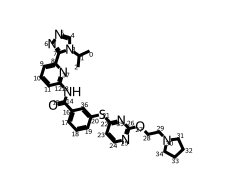 CC(C)n1cnnc1-c1cccc(NC(=O)c2cccc(Sc3ccnc(OCCN4CCCC4)n3)c2)n1